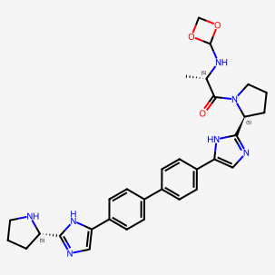 C[C@H](NC1OCO1)C(=O)N1CCC[C@H]1c1ncc(-c2ccc(-c3ccc(-c4cnc([C@@H]5CCCN5)[nH]4)cc3)cc2)[nH]1